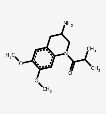 COc1cc2c(cc1OC)N(C(=O)C(C)C)CC(N)C2